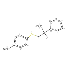 COc1ccc(SCC(C)(C(=O)O)c2ccccc2)cc1